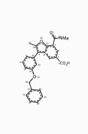 CNC(=O)c1cc(C(=O)O)cc2c(-c3cccc(OCc4ccccc4)c3)c(C)oc12